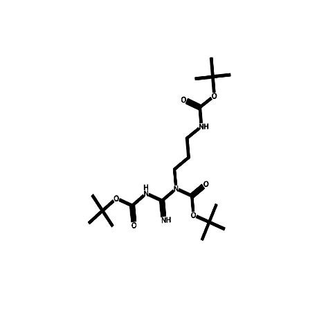 CC(C)(C)OC(=O)NCCCN(C(=N)NC(=O)OC(C)(C)C)C(=O)OC(C)(C)C